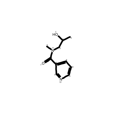 CC(O)CN(C)C(=O)c1cccnc1